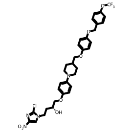 O=[N+]([O-])c1cn(CC[C@@H](O)COc2ccc(N3CCC(COc4ccc(OCc5ccc(OC(F)(F)F)cc5)cc4)CC3)cc2)c(Cl)n1